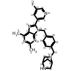 Cc1nc(C)c2nc(-c3cncc(F)c3)n(Cc3ccc(CN4CC5CC4CN5)cc3)c2n1